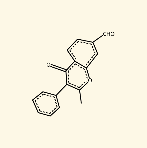 Cc1oc2cc(C=O)ccc2c(=O)c1-c1ccccc1